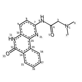 CN(C)CC(=O)Nc1ccc2[nH]c(=O)c3ccccc3c2n1